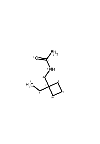 BC(=O)NCC1(CC)CCC1